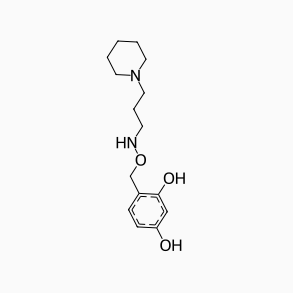 Oc1ccc(CONCCCN2CCCCC2)c(O)c1